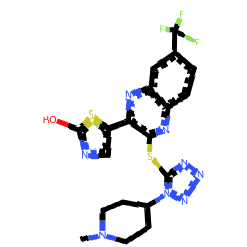 CN1CCC(n2nnnc2Sc2nc3ccc(C(F)(F)F)cc3nc2-c2cnc(O)s2)CC1